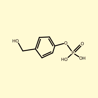 O=P(O)(O)Oc1ccc(CO)cc1